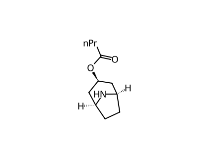 CCCC(=O)O[C@H]1C[C@H]2CC[C@@H](C1)N2